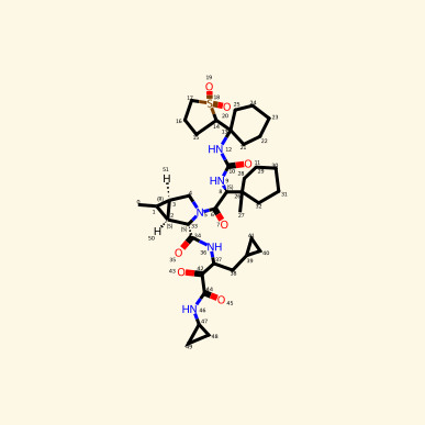 CC1[C@H]2[C@@H]1CN(C(=O)[C@@H](NC(=O)NC1(C3CCCS3(=O)=O)CCCCC1)C1(C)CCCCC1)[C@@H]2C(=O)NC(CC1CC1)C(=O)C(=O)NC1CC1